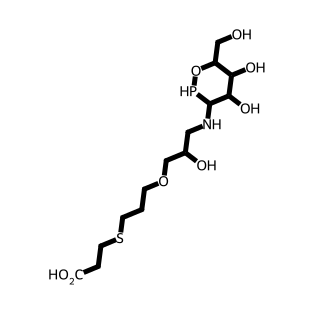 O=C(O)CCSCCCOCC(O)CNC1POC(CO)C(O)C1O